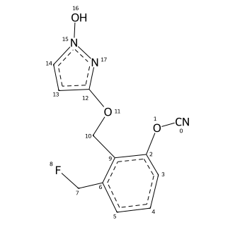 N#COc1cccc(CF)c1COc1ccn(O)n1